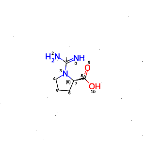 N=C(N)N1CCC[C@@H]1C(=O)O